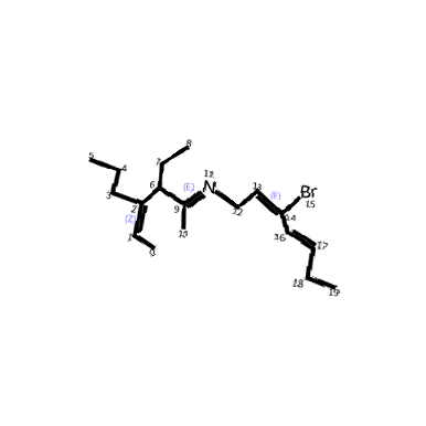 C/C=C(/CCC)C(CC)/C(C)=N/C/C=C(/Br)C=CCC